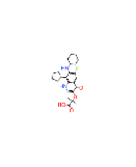 CC(C)(Oc1c[nH]c2c(C3CCCC3)c(NC3CCCCC3)c(F)cc2c1=O)C(=O)O